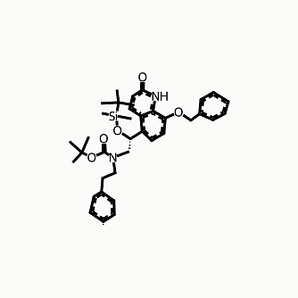 CC(C)(C)OC(=O)N(CCc1cc[c]cc1)C[C@H](O[Si](C)(C)C(C)(C)C)c1ccc(OCc2ccccc2)c2[nH]c(=O)ccc12